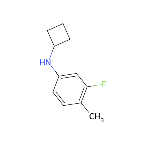 Cc1ccc(NC2CCC2)cc1F